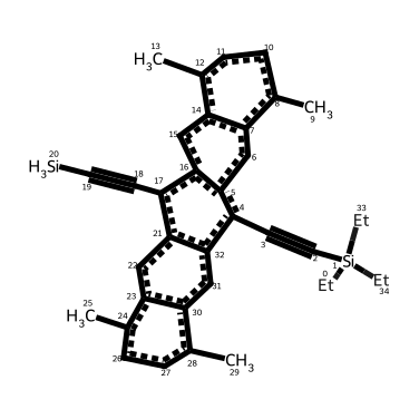 CC[Si](C#Cc1c2cc3c(C)ccc(C)c3cc2c(C#C[SiH3])c2cc3c(C)ccc(C)c3cc12)(CC)CC